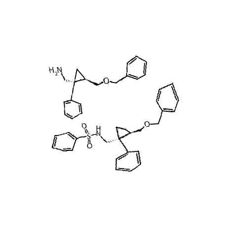 NC[C@]1(c2ccccc2)C[C@H]1COCc1ccccc1.O=S(=O)(NC[C@]1(c2ccccc2)C[C@H]1COCc1ccccc1)c1ccccc1